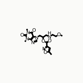 COCCNCC(Cn1cnc2c1c(=O)n(C)c(=O)n2C)OC(=O)c1cc(C)on1